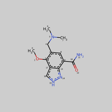 COc1c(CN(C)C)cc(C(N)=O)c2n[nH]cc12